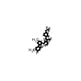 Cc1cc(-c2nccc3c(C(F)(F)F)c(-c4ccc(CC(F)(F)F)cc4)sc23)c2oc3cc(F)c(C)cc3c2c1